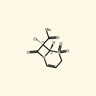 CC(C)(C)C(=O)[C@]1(Cl)C(=O)N2C=CCS(=O)(=O)[C@H]21